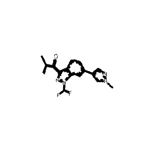 CC(C)C(=O)c1nn(C(F)F)c2cc(-c3cnn(C)c3)ccc12